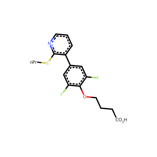 CCCSc1ncccc1-c1cc(F)c(OCCCC(=O)O)c(F)c1